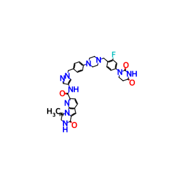 C[C@@H]1CNC(=O)c2cc3ccc(C(=O)Nc4cnn(Cc5ccc(N6CCN(Cc7ccc(N8CCC(=O)NC8=O)cc7F)CC6)cc5)c4)nc3n21